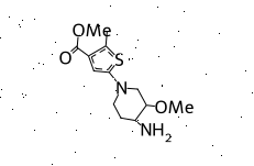 COC(=O)c1cc(N2CCC(N)C(OC)C2)sc1C